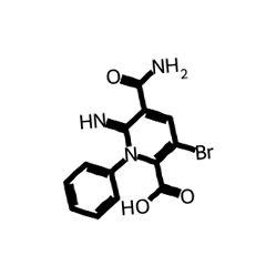 N=c1c(C(N)=O)cc(Br)c(C(=O)O)n1-c1ccccc1